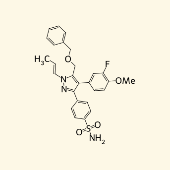 CC=Cn1nc(-c2ccc(S(N)(=O)=O)cc2)c(-c2ccc(OC)c(F)c2)c1COCc1ccccc1